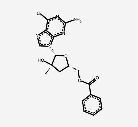 C[C@@]1(O)C[C@@H](COC(=O)c2ccccc2)O[C@H]1n1cnc2c(Cl)nc(N)nc21